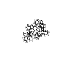 CC1C=Cc2c(sc3cccc(C4=NC(c5ccccc5)NC(c5ccccc5)N4)c23)C1c1cccc2oc3ccc(-n4c5ccccc5c5ccccc54)cc3c12